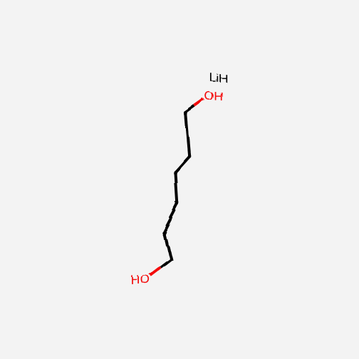 OCCCCCCO.[LiH]